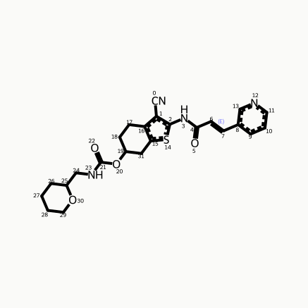 N#Cc1c(NC(=O)/C=C/c2cccnc2)sc2c1CCC(OC(=O)NCC1CCCCO1)C2